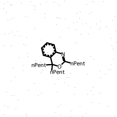 CCCCCC1=Nc2ccccc2C(CCCCC)(CCCCC)O1